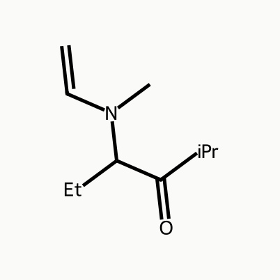 C=CN(C)C(CC)C(=O)C(C)C